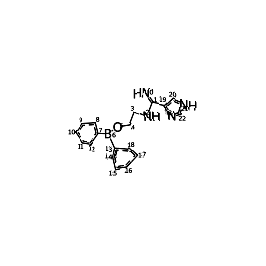 N=C(NCCOB(c1ccccc1)c1ccccc1)c1c[nH]cn1